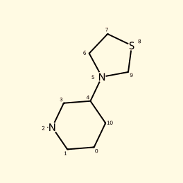 C1C[N]CC(N2CCSC2)C1